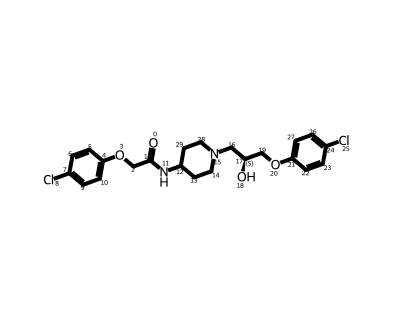 O=C(COc1ccc(Cl)cc1)NC1CCN(C[C@H](O)COc2ccc(Cl)cc2)CC1